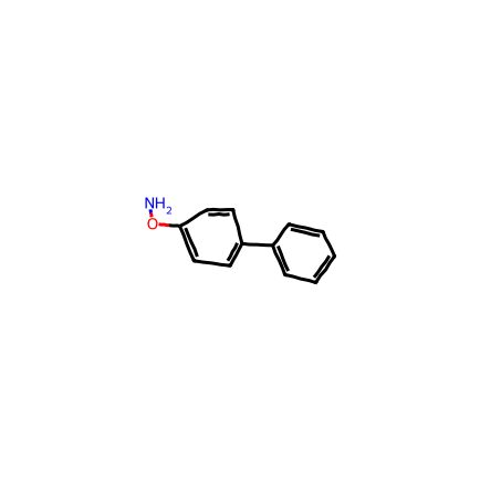 NOc1ccc(-c2ccccc2)cc1